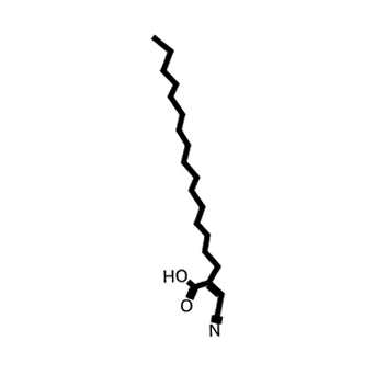 CCCCCCCCCCCCCCCC/C(=C/C#N)C(=O)O